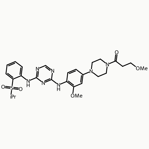 COCCC(=O)N1CCN(c2ccc(Nc3ncnc(Nc4ccccc4S(=O)(=O)C(C)C)n3)c(OC)c2)CC1